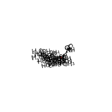 CO[C@@H]1OC(CO)[C@H](O)[C@H](O[C@@]2(C=O)C[C@@H](O)[C@H](C)C(C(O)CNC(=O)CCCCCNC(=O)C3(F)C#CCCCCC3)O2)C1O[C@@H]1OC(CO)[C@@H](O)C(O[C@@H]2OC(CO)[C@@H](O[C@@H]3OC(CO[C@@H]4OC(CO)[C@H](O)[C@H](O)C4O)[C@H](O)C(O[C@@H]4OC(CO)[C@@H](OC)C(O)[C@@H]4C)[C@@H]3O)C(O)[C@@H]2O)[C@@H]1O